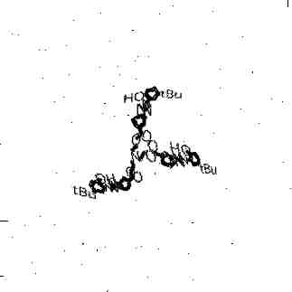 CC(C)(C)c1ccc(O)c(-n2n3c4ccc(C(=O)OCCN(CCOC(=O)c5ccc6c(c5)n5n(-c7cc(C(C)(C)C)ccc7O)n65)CCOC(=O)c5ccc6c(c5)n5n(-c7cc(C(C)(C)C)ccc7O)n65)cc4n23)c1